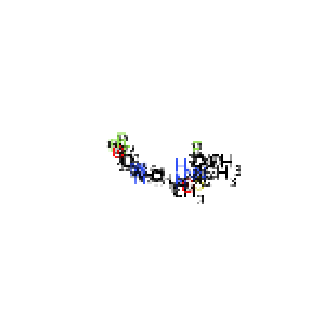 CC(CCc1ccc(-c2ncn(-c3ccc(OC(F)(F)F)cc3)n2)cc1)NC(=O)/N=c1\sccn1-c1ccc(F)cc1C(C)C